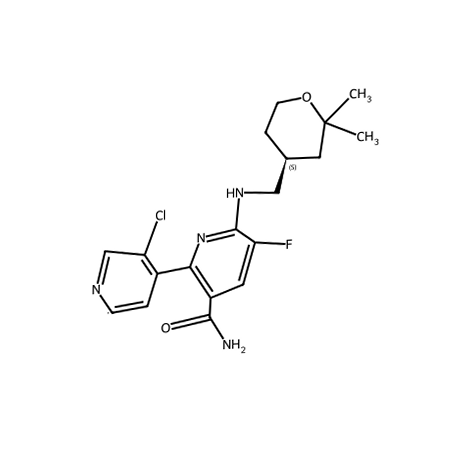 CC1(C)C[C@@H](CNc2nc(-c3c[c]ncc3Cl)c(C(N)=O)cc2F)CCO1